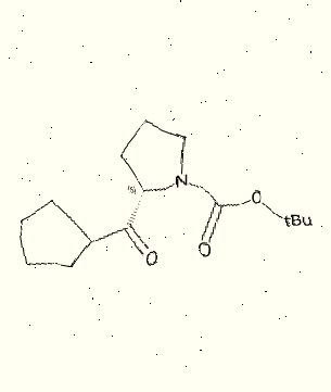 CC(C)(C)OC(=O)N1CCC[C@H]1C(=O)C1CCCC1